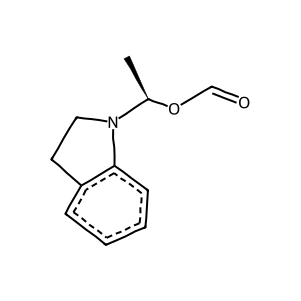 C[C@@H](OC=O)N1CCc2ccccc21